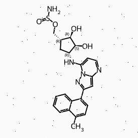 Cc1ccc(-c2cc3nccc(N[C@@H]4C[C@H](COS(N)=O)[C@@H](O)[C@H]4O)n3n2)c2ccccc12